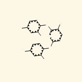 O=[N+]([O-])c1ccc(Oc2ccc(C(F)(F)F)cc2Cl)nc1Oc1ccc(C(F)(F)F)cc1Cl